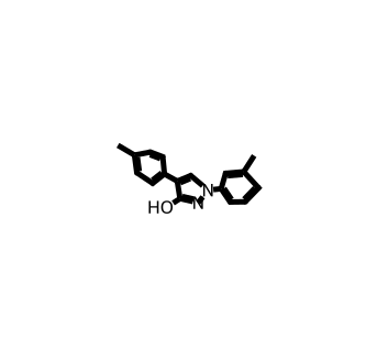 Cc1ccc(-c2cn(-c3cccc(C)c3)nc2O)cc1